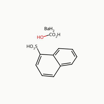 O=C(O)O.O=S(=O)(O)c1cccc2ccccc12.[BaH2]